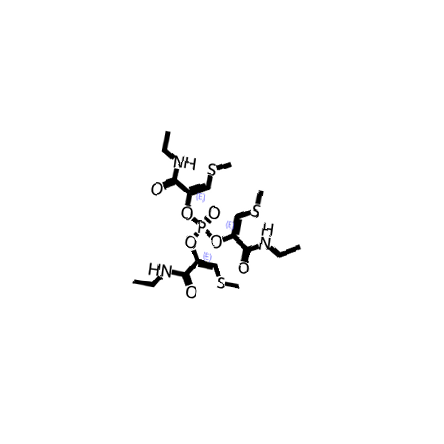 CCNC(=O)/C(=C\SC)OP(=O)(O/C(=C/SC)C(=O)NCC)O/C(=C/SC)C(=O)NCC